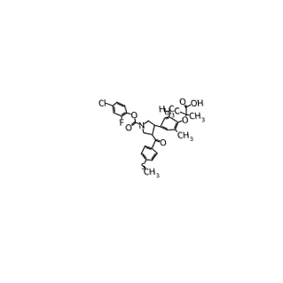 CSc1ccc(C(=O)C2CN(C(=O)Oc3ccc(Cl)cc3F)CC2c2cc(C)c(OC(C)(C)C(=O)O)c(C)c2)cc1